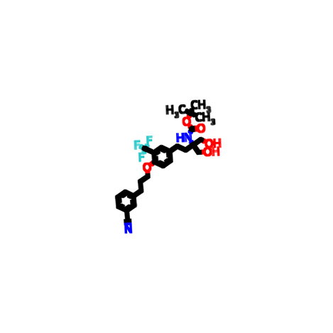 CC(C)(C)OC(=O)NC(CO)(CO)CCc1ccc(OCCCc2cccc(C#N)c2)c(C(F)(F)F)c1